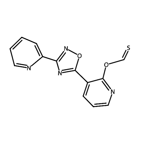 S=COc1ncccc1-c1nc(-c2ccccn2)no1